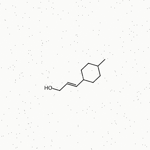 CC1CCC(C=CCO)CC1